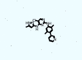 Cc1cc(Nc2nc(Nc3cc(C)c(-c4cccnc4)cc3C)ncc2Cl)n[nH]1